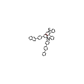 c1ccc(-c2ccc(-c3ccc(N(c4cccc(-c5ccc(-c6ccc7ccccc7c6)cc5)c4)c4ccccc4-c4cccc5sc6ccccc6c45)cc3)cc2)cc1